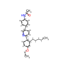 CCCCCc1cc(OCC)ccc1-c1ccc(-c2ccc(NC(C)=O)cc2)cn1